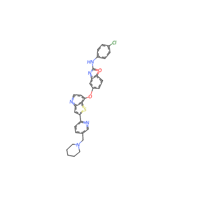 Clc1ccc(Nc2nc3cc(Oc4ccnc5cc(-c6ccc(CN7CCCCC7)cn6)sc45)ccc3o2)cc1